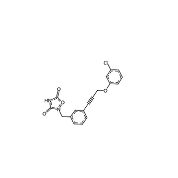 O=c1[nH]c(=O)n(Cc2cccc(C#CCOc3cccc(Cl)c3)c2)o1